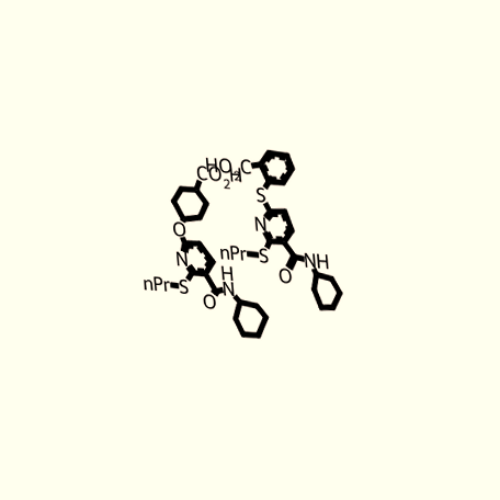 CCCSc1nc(OC2CCC(C(=O)O)CC2)ccc1C(=O)NC1CCCCC1.CCCSc1nc(Sc2ccccc2C(=O)O)ccc1C(=O)NC1CCCCC1